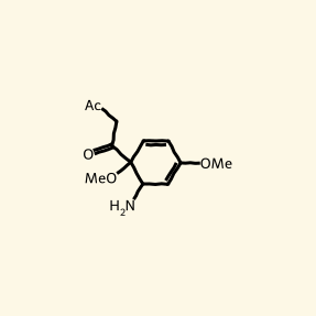 COC1=CC(N)C(OC)(C(=O)CC(C)=O)C=C1